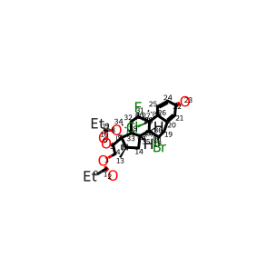 CCC(=O)OCC(=O)[C@]1(OC(=O)CC)[C@H](C)C[C@H]2[C@@H]3[C@H](Br)CC4=CC(=O)C=C[C@]4(C)[C@@]3(Cl)[C@@H](F)C[C@@]21C